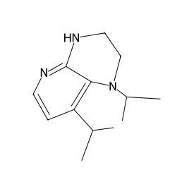 CC(C)c1ccnc2c1N(C(C)C)CCN2